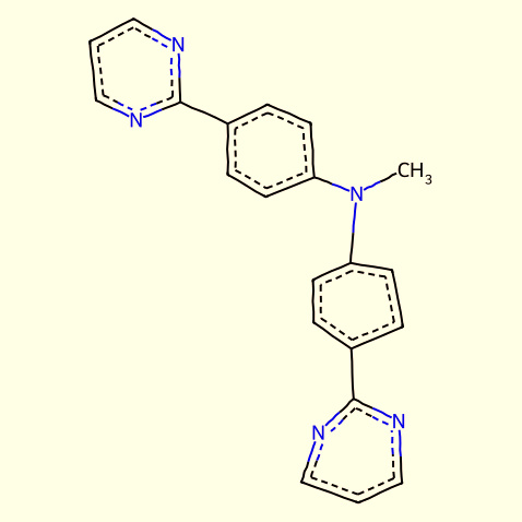 CN(c1ccc(-c2ncccn2)cc1)c1ccc(-c2ncccn2)cc1